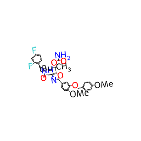 COc1ccc(COc2cc(-c3nc(C(=O)NCc4ccc(F)cc4F)c(C(C)(OC(N)=O)C(C)(C)C)o3)ccc2OC)cc1